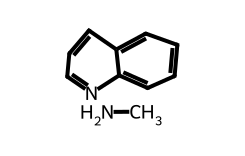 CN.c1ccc2ncccc2c1